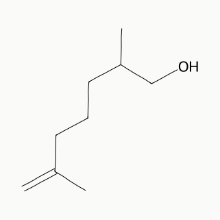 C=C(C)CCCC(C)CO